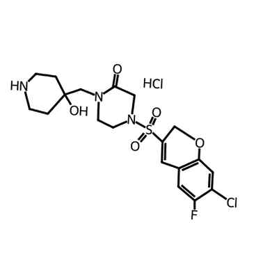 Cl.O=C1CN(S(=O)(=O)C2=Cc3cc(F)c(Cl)cc3OC2)CCN1CC1(O)CCNCC1